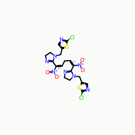 O=[N+]([O-])/C(=C/C/C=C(\C1=NCCN1Cc1cnc(Cl)s1)[N+](=O)[O-])C1=NCCN1Cc1cnc(Cl)s1